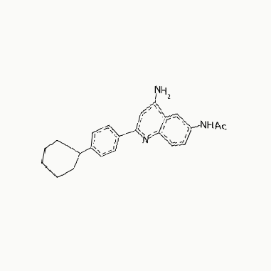 CC(=O)Nc1ccc2nc(-c3ccc(C4CCCCC4)cc3)cc(N)c2c1